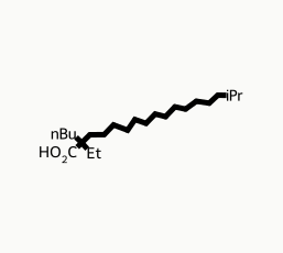 CCCCC(CC)(CCCCCCCCCCCCCC(C)C)C(=O)O